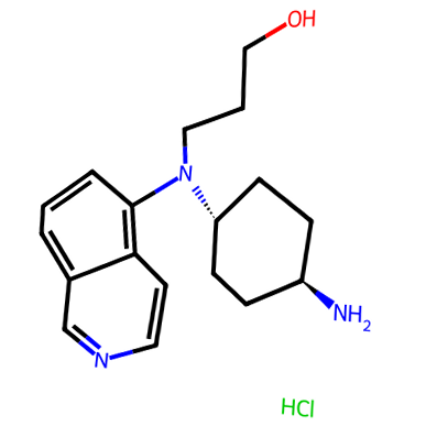 Cl.N[C@H]1CC[C@H](N(CCCO)c2cccc3cnccc23)CC1